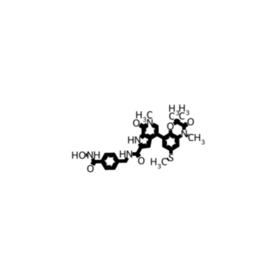 CSc1cc(-c2cn(C)c(=O)c3[nH]c(C(=O)NCc4ccc(C(=O)NO)cc4)cc23)c2c(c1)N(C)C(=O)C(C)(C)O2